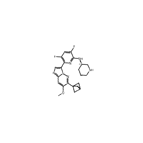 COc1cc2ncc(-c3nc(N[C@@H]4CCCNC4)c(F)cc3F)n2nc1C12CC(C1)C2